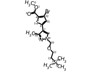 COC(=O)c1sc(-c2cn(COCC[Si](C)(C)C)nc2C)cc1Br